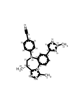 Cc1nnc2n1-c1ccc(-c3cnn(C)n3)cc1N(c1ccc(C#N)cc1)C[C@H]2C